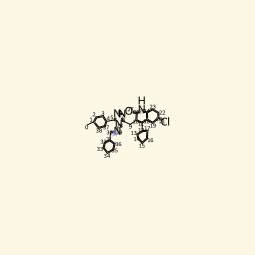 Cc1ccc(-c2nnc(Cc3c(-c4ccccc4)c4cc(Cl)ccc4[nH]c3=O)n2/N=C/c2ccccc2)cc1